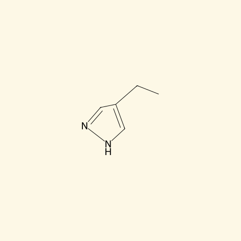 CCc1cn[nH]c1